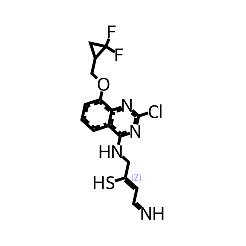 N=C/C=C(\S)CNc1nc(Cl)nc2c(OCC3CC3(F)F)cccc12